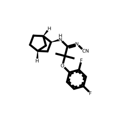 CC(C)(Oc1ccc(F)cc1F)/C(=N\C#N)N[C@H]1C[C@@H]2CC[C@H]1C2